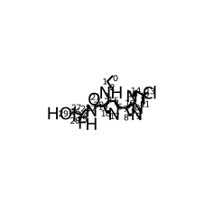 CCCNc1cc(-c2cnn3cc(Cl)cnc23)ncc1C(=O)NCC(F)C(C)(C)O